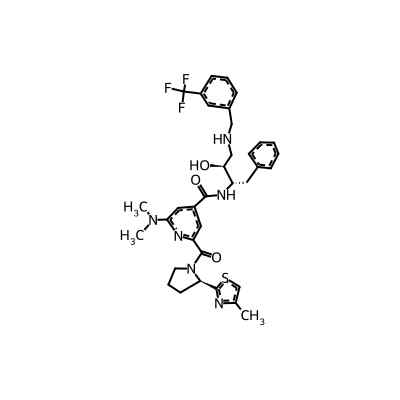 Cc1csc([C@H]2CCCN2C(=O)c2cc(C(=O)N[C@@H](Cc3ccccc3)[C@@H](O)CNCc3cccc(C(F)(F)F)c3)cc(N(C)C)n2)n1